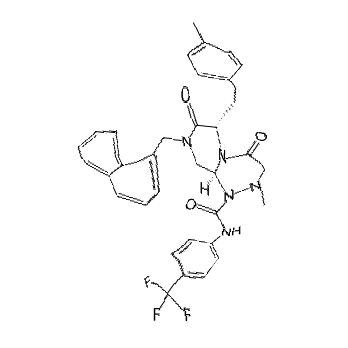 Cc1ccc(C[C@H]2C(=O)N(Cc3cccc4ccccc34)C[C@H]3N2C(=O)CN(C)N3C(=O)Nc2ccc(C(F)(F)F)cc2)cc1